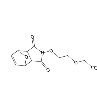 O=C(O)COCCON1C(=O)C2C3C=CC(O3)C2C1=O